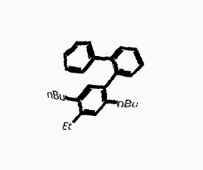 CCCCc1cc(-c2ccccc2-c2ccccc2)c(CCCC)cc1CC